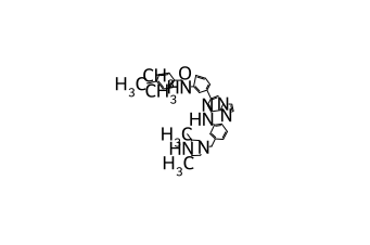 CC1CN(Cc2cccc(Nc3nc(-c4cccc(NC(=O)c5ccc(C(C)(C)C)cc5)c4)cn4ccnc34)c2)CC(C)N1